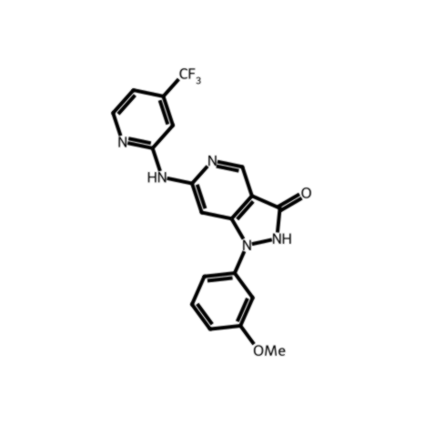 COc1cccc(-n2[nH]c(=O)c3cnc(Nc4cc(C(F)(F)F)ccn4)cc32)c1